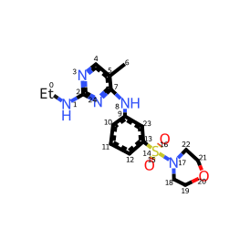 CCNc1ncc(C)c(Nc2cccc(S(=O)(=O)N3CCOCC3)c2)n1